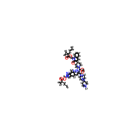 CCCCC1(C(=O)OCn2cc3cc(C[C@@H](NC(=O)N4CCC(c5cc6ccccc6n(COC(=O)C6(CCCC)CC6)c5=O)CC4)C(=O)N4CCN(C5CCN(C)CC5)CC4)cc(C)c3n2)CC1